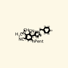 CCCCCc1cc(C#N)c(N(C)C)c(C#N)c1-c1cn(Cc2ccccc2)nn1